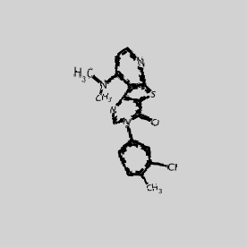 Cc1ccc(-n2cnc3c(sc4nccc(N(C)C)c43)c2=O)cc1Cl